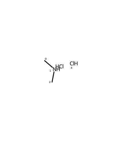 CNC.Cl.Cl